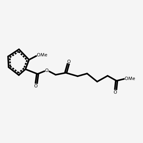 COC(=O)CCCCC(=O)COC(=O)c1ccccc1OC